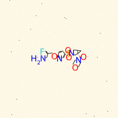 NC/C(=C\F)COc1ccc(S(=O)(=O)N2CC3C[C@@]3(C(=O)N3CCOCC3)C2)cn1